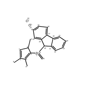 [CH2]=[Zr+2]([C]1=C(C)C(C)=CC1C)[CH]1c2ccccc2-c2ccccc21.[Cl-].[Cl-]